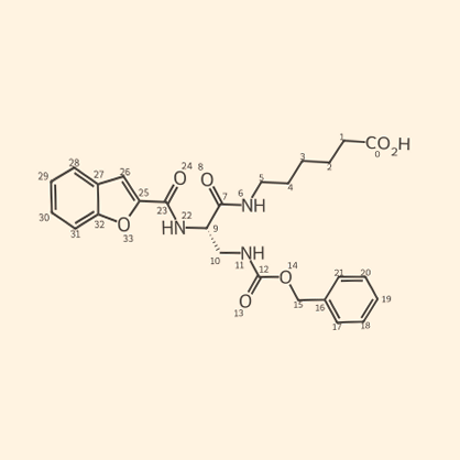 O=C(O)CCCCCNC(=O)[C@H](CNC(=O)OCc1ccccc1)NC(=O)c1cc2ccccc2o1